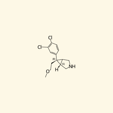 COCC[C@@]1(c2ccc(Cl)c(Cl)c2)C2CNC[C@@H]21